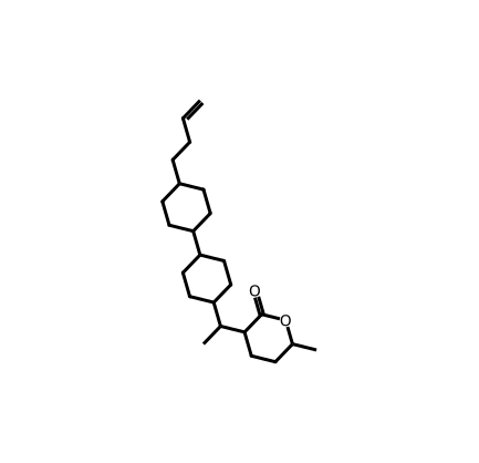 C=CCCC1CCC(C2CCC(C(C)C3CCC(C)OC3=O)CC2)CC1